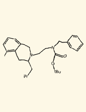 Cc1cccc2c1CC(CC(C)C)N(CCN(Cc1ccccc1)C(=O)OC(C)(C)C)C2